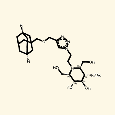 CC(=O)N[C@@H]1[C@@H](O)[C@H](O)[C@@H](CO)N(CCn2cc(COCC34CC5C[C@H](C3)C[C@H](C5)C4)nn2)[C@H]1CO